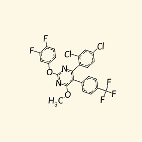 COc1nc(Oc2ccc(F)c(F)c2)nc(-c2ccc(Cl)cc2Cl)c1-c1ccc(C(F)(F)F)cc1